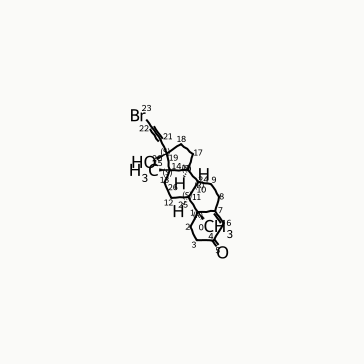 C[C@]12CCC(=O)C=C1CC[C@@H]1[C@@H]2CC[C@@]2(C)[C@H]1CC[C@@]2(O)C#CBr